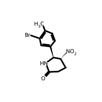 Cc1ccc([C@@H]2NC(=O)CC[C@H]2[N+](=O)[O-])cc1Br